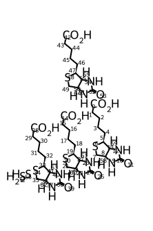 O=C(O)CCCC[C@@H]1SC[C@@H]2NC(=O)N[C@@H]21.O=C(O)CCCC[C@@H]1SC[C@@H]2NC(=O)N[C@@H]21.O=C(O)CCCC[C@@H]1SC[C@@H]2NC(=O)N[C@@H]21.O=C(O)CCCC[C@@H]1SC[C@@H]2NC(=O)N[C@@H]21.S.S